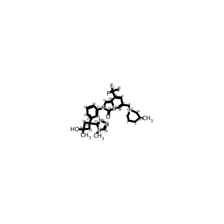 C[C@H]1CCCN(Cc2cc(C(F)(F)F)c3cn(-c4cccc(C5(c6nncn6C)CC(C)(O)C5)c4)c(=O)n3c2)C1